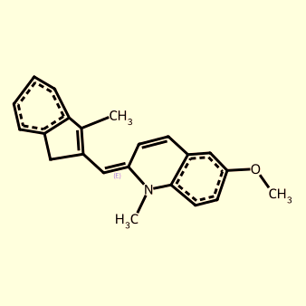 COc1ccc2c(c1)C=C/C(=C\C1=C(C)c3ccccc3C1)N2C